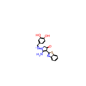 NC1=C(c2nc3ccccc3s2)C(=O)CN1/N=C\c1ccc(O)c(O)c1